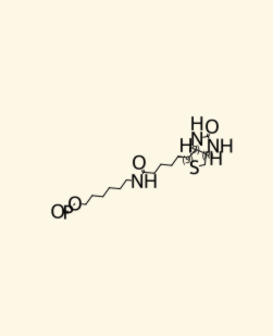 O=POCCCCCCNC(=O)CCCC[C@@H]1SC[C@@H]2NC(=O)N[C@@H]21